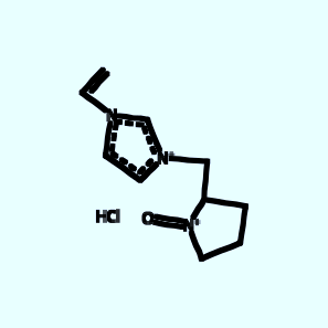 C=Cn1cc[n+](CC2CCC[N+]2=O)c1.Cl